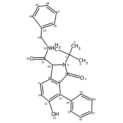 CC(C)(C)N1C(=O)c2c(ccc(O)c2-c2ccccc2)C1C(=O)NCc1ccccc1